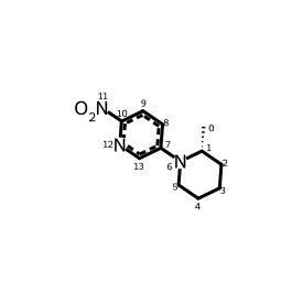 C[C@@H]1CCCCN1c1ccc([N+](=O)[O-])nc1